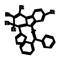 CCC1=C(CC)C(CC)(CC)C(C2=CC=CC2)=C2[C]([Zr]=[C](c3ccccc3)c3ccccc3)=c3cc(CC)ccc3=C12